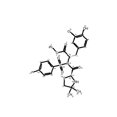 CC(C)OC(=O)[C@H](Cc1ccc(O)c(Cl)c1)N(C(=O)[C@H]1NC(C)(C)CS1)S(=O)(=O)c1ccc(F)cc1